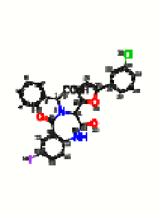 O=C(O)C(c1ccccc1)N1C(=O)c2cc(I)ccc2NC(=O)C1c1ccc(-c2cccc(Cl)c2)o1